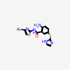 CC(=O)c1csc(NC(=O)c2cc(Sc3ncc[nH]3)ccc2N)n1